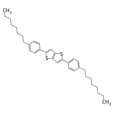 CCCCCCCCc1ccc(-c2cc3sc(-c4ccc(CCCCCCCC)cc4)cc3s2)cc1